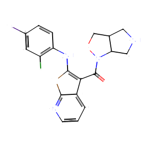 O=C(c1c(Nc2ccc(I)cc2F)sc2ncccc12)N1OCC2CNCC21